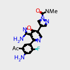 CNC(=O)n1cc(-c2cnc(-c3cc(C(C)=O)c(N)cc3F)c3c(N)noc23)cn1